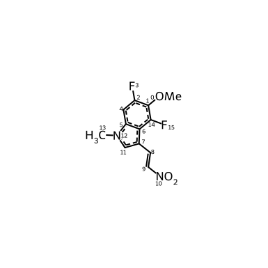 COc1c(F)cc2c(c(C=C[N+](=O)[O-])cn2C)c1F